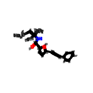 CCCC(CCC)(CC(=O)O)NC(=O)c1ccc(C#Cc2ccccc2)o1